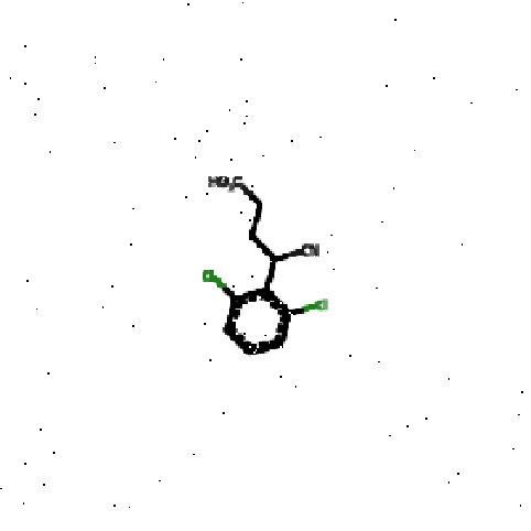 N#CC(CCC(=O)O)c1c(Cl)cccc1Cl